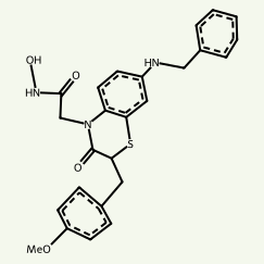 COc1ccc(CC2Sc3cc(NCc4ccccc4)ccc3N(CC(=O)NO)C2=O)cc1